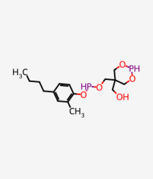 CCCCc1ccc(OPOCC2(CO)COPOC2)c(C)c1